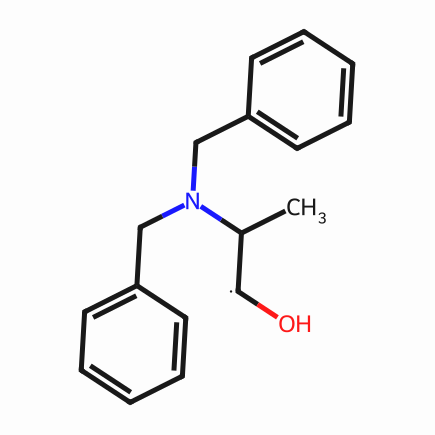 CC([CH]O)N(Cc1ccccc1)Cc1ccccc1